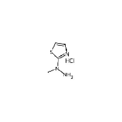 CN(N)c1nccs1.Cl